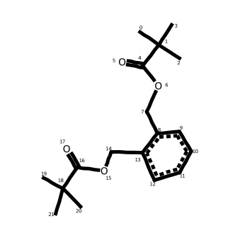 CC(C)(C)C(=O)OCc1ccccc1COC(=O)C(C)(C)C